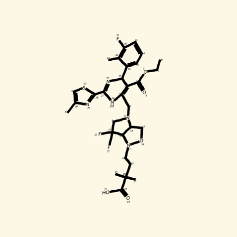 CCOC(=O)C1=C(CN2CC(F)(F)C3C2CON3CCC(C)(C)C(=O)O)NC(c2nc(C)cs2)=NC1c1cccc(F)c1C